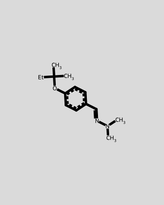 CCC(C)(C)Oc1ccc(C=NN(C)C)cc1